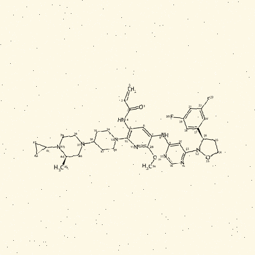 C=CC(=O)Nc1cc(Nc2cc(N3OCC[C@@H]3c3cc(F)cc(F)c3)ncn2)c(OC)nc1N1CCC(N2CCN(C3CC3)[C@H](C)C2)CC1